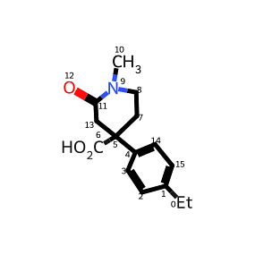 CCc1ccc(C2(C(=O)O)CCN(C)C(=O)C2)cc1